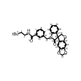 CC(C)(C)CCNC(=O)c1cccc(CN2C(=O)C3(COc4cc5c(cc43)OCO5)c3ccccc32)c1